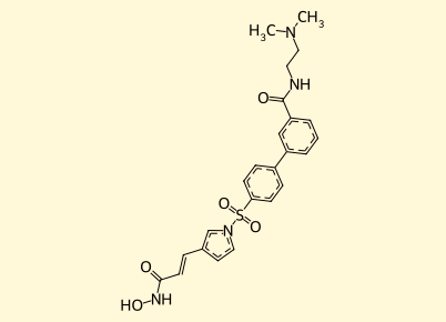 CN(C)CCNC(=O)c1cccc(-c2ccc(S(=O)(=O)n3ccc(/C=C/C(=O)NO)c3)cc2)c1